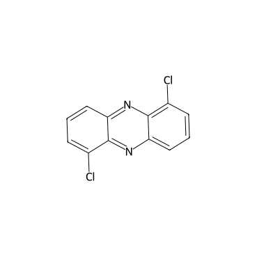 Clc1cccc2nc3c(Cl)cccc3nc12